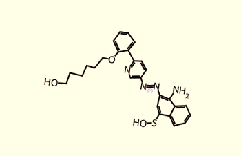 Nc1c(/N=N/c2ccc(-c3ccccc3OCCCCCCO)nc2)cc(SO)c2ccccc12